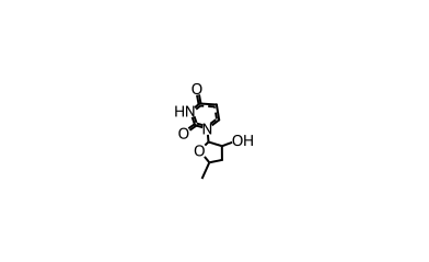 CC1CC(O)C(n2ccc(=O)[nH]c2=O)O1